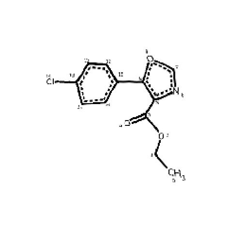 CCOC(=O)c1ncoc1-c1ccc(Cl)cc1